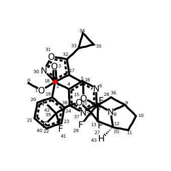 COC(=O)c1cnc(N2C3CC[C@H]2CC(OCc2c(-c4ccccc4OC(F)(F)F)noc2C2CC2)C3)nc1C(F)(F)F